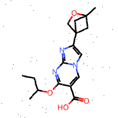 CCC(C)Oc1nc2nc(C34COC(C)(C3)C4)cn2cc1C(=O)O